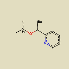 C[SiH](C)OC(c1ccc[c]n1)C(C)(C)C